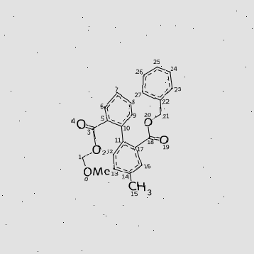 COCOC(=O)c1ccccc1-c1ccc(C)cc1C(=O)OCc1ccccc1